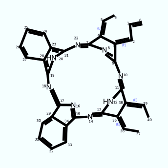 C=C/C=C1\C(=C/C)c2nc1nc1[nH]c(nc3nc(nc4[nH]c(n2)c2ccccc42)-c2ccccc2-3)c(=C/C)/c1=C\C